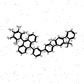 [2H]c1c([2H])c([2H])c(-c2c3ccccc3c(-c3cccc(-c4ccc5c(c4)sc4cc6c(cc45)C(C)(C)c4ccccc4-6)c3)c3ccccc23)c([2H])c1[2H]